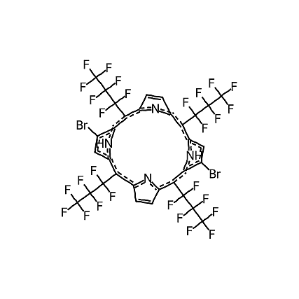 FC(F)(F)C(F)(F)C(F)(F)c1c2nc(c(C(F)(F)C(F)(F)C(F)(F)F)c3[nH]c(cc3Br)c(C(F)(F)C(F)(F)C(F)(F)F)c3nc(c(C(F)(F)C(F)(F)C(F)(F)F)c4[nH]c1cc4Br)C=C3)C=C2